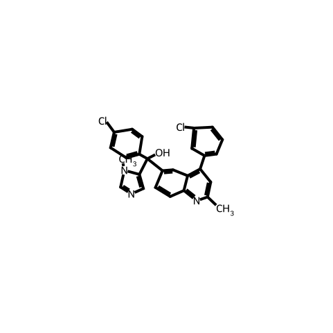 Cc1cc(-c2cccc(Cl)c2)c2cc(C(O)(c3ccc(Cl)cc3)c3cncn3C)ccc2n1